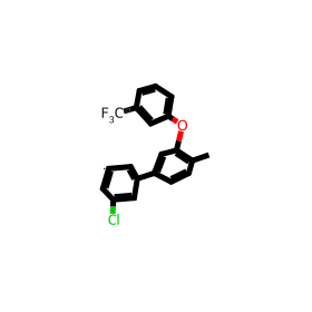 Cc1ccc(-c2c[c]cc(Cl)c2)cc1Oc1cccc(C(F)(F)F)c1